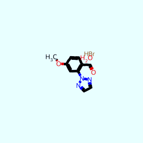 Br.COc1ccc(C=O)c(-n2nccn2)c1.O